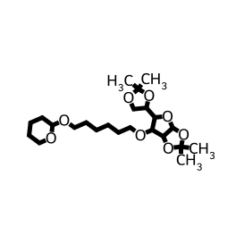 CC1(C)OCC(C2OC3OC(C)(C)OC3C2OCCCCCCOC2CCCCO2)O1